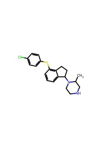 CC1CNCCN1C1CCc2c(Sc3ccc(Cl)cc3)cccc21